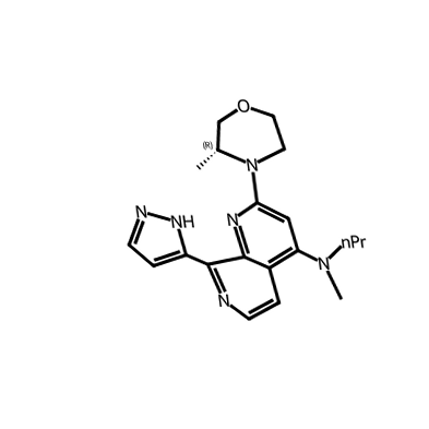 CCCN(C)c1cc(N2CCOC[C@H]2C)nc2c(-c3ccn[nH]3)nccc12